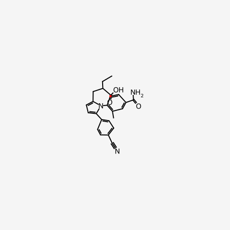 CCC(Cc1ccc(-c2ccc(C#N)cc2)n1-c1ccc(C(N)=O)cc1C)C(=O)O